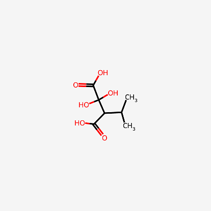 CC(C)C(C(=O)O)C(O)(O)C(=O)O